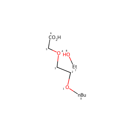 CCCCOCCOCC(=O)O.CCO